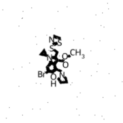 CCOC(=O)c1c(CSc2nccs2)n(C2CC2)c2cc(Br)c(O)c(CN3CCCC3)c12